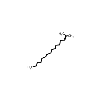 [CH2]C(C)=CCCCCCCCCCCCCC